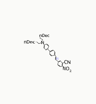 CCCCCCCCCCCCN(CCCCCCCCCCCC)c1ccc(-c2ccc(/C=C/c3ccc([N+](=O)[O-])c(C#N)c3)cc2)cc1